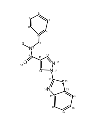 CN(Cc1ccccc1)C(=O)c1cnn(-c2nc3ccccc3s2)c1